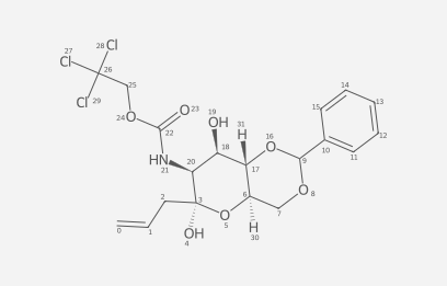 C=CC[C@]1(O)O[C@@H]2COC(c3ccccc3)O[C@H]2[C@H](O)[C@@H]1NC(=O)OCC(Cl)(Cl)Cl